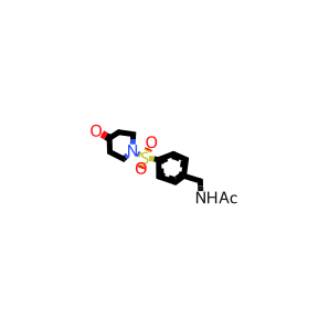 CC(=O)NCc1ccc(S(=O)(=O)N2CCC(=O)CC2)cc1